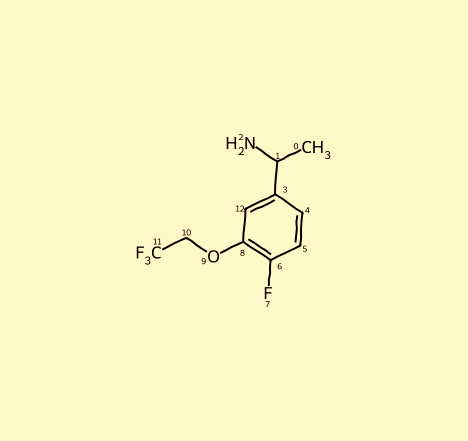 CC(N)c1ccc(F)c(OCC(F)(F)F)c1